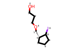 OCCCOC[C@H]1CCCC1I